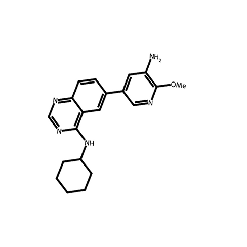 COc1ncc(-c2ccc3ncnc(NC4CCCCC4)c3c2)cc1N